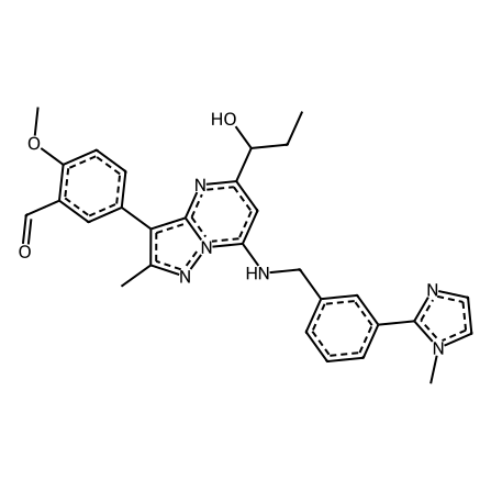 CCC(O)c1cc(NCc2cccc(-c3nccn3C)c2)n2nc(C)c(-c3ccc(OC)c(C=O)c3)c2n1